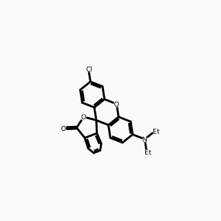 CCN(CC)c1ccc2c(c1)Oc1cc(Cl)ccc1C21OC(=O)c2ccccc21